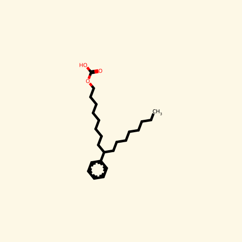 CCCCCCCCC(CCCCCCCCOC(=O)O)c1ccccc1